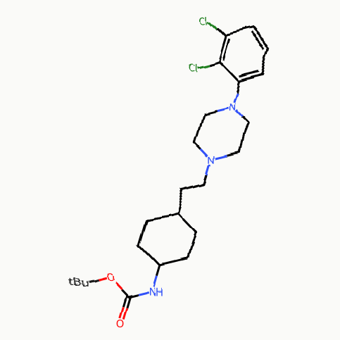 CC(C)(C)OC(=O)NC1CCC(CCN2CCN(c3cccc(Cl)c3Cl)CC2)CC1